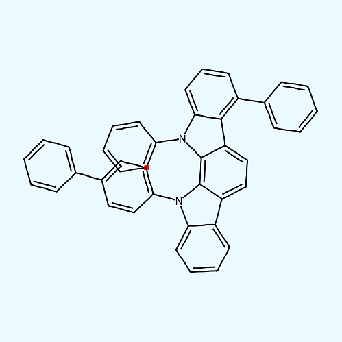 c1ccc(-c2ccc(-n3c4ccccc4c4ccc5c6c(-c7ccccc7)cccc6n(-c6ccccc6)c5c43)cc2)cc1